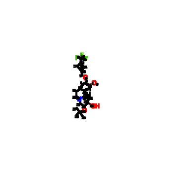 COc1cc2c(cc1OCC13CC(C(F)(F)F)(C1)C3)CCN1C[C@@H](OC(C)(C)C)[C@H](O)C[C@H]21